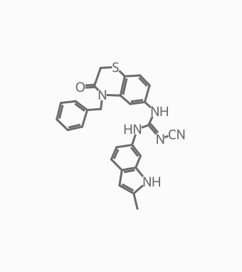 Cc1cc2ccc(N/C(=N/C#N)Nc3ccc4c(c3)N(Cc3ccccc3)C(=O)CS4)cc2[nH]1